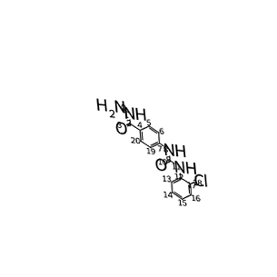 NNC(=O)c1ccc(NC(=O)Nc2ccccc2Cl)cc1